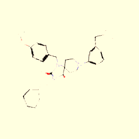 O=C(O)Cc1cccc(N2CCC3(CC2)C(=O)N(CCC2CCCCC2)C(=O)N3Cc2ccc(OC(F)(F)F)cc2)c1